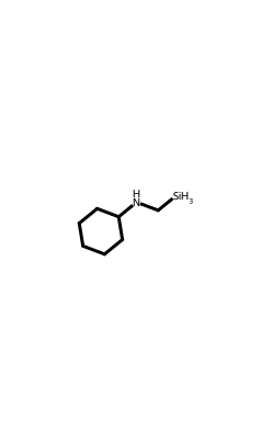 [SiH3]CNC1CCCCC1